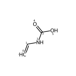 [CH]=CNC(=O)O